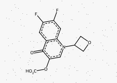 O=C(O)Oc1cn(C2COC2)c2cc(F)c(F)cc2c1=O